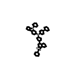 c1ccc(-c2ccc(N(c3ccc(-c4cc5oc(-c6ccccc6)nc5c5ccccc45)cc3)c3ccc4c5ccccc5n(-c5ccccc5)c4c3)cc2)cc1